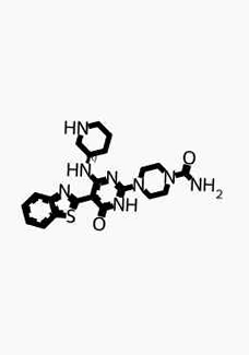 NC(=O)N1CCN(c2nc(N[C@@H]3CCCNC3)c(-c3nc4ccccc4s3)c(=O)[nH]2)CC1